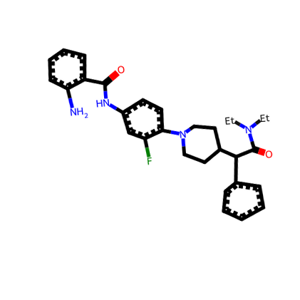 CCN(CC)C(=O)C(c1ccccc1)C1CCN(c2ccc(NC(=O)c3ccccc3N)cc2F)CC1